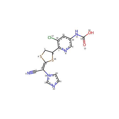 N#CC(=C1SCC(c2ncc(NC(=O)O)cc2Cl)S1)n1ccnc1